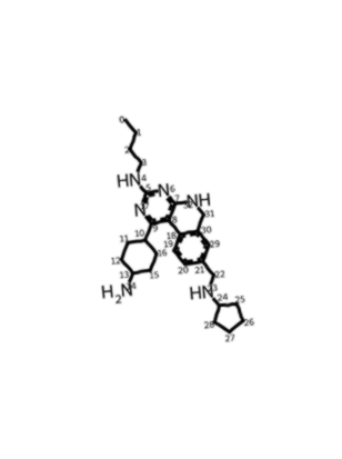 CCCCNc1nc2c(c(C3CCC(N)CC3)n1)-c1ccc(CNC3CCCC3)cc1CN2